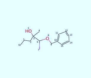 CCCC(C)(O)C(I)OCc1ccccc1